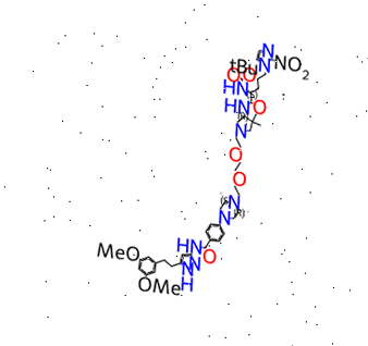 COc1cc(CCc2cc(NC(=O)c3ccc(N4C[C@@H](C)N(CCOCCOCCN5C[C@H](NC(=O)[C@H](CCCn6ccnc6[N+](=O)[O-])NC(=O)OC(C)(C)C)C(C)(C)C5)[C@@H](C)C4)cc3)n[nH]2)cc(OC)c1